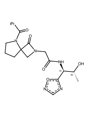 CC(C)C(=O)N1CCCC12CN(CC(=O)N[C@H](c1ncno1)[C@@H](C)O)C2=O